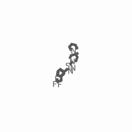 CC1(N2CCCCC2)CCN(c2nnc(-c3cccc(CC(F)(F)F)c3)s2)CC1